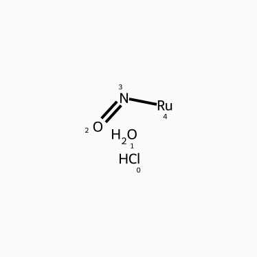 Cl.O.O=[N][Ru]